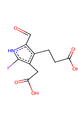 O=Cc1[nH]c(I)c(CC(=O)O)c1CCC(=O)O